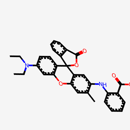 CCN(CC)c1ccc2c(c1)Oc1cc(C)c(Nc3ccccc3C(=O)OC)cc1C21OC(=O)c2ccccc21